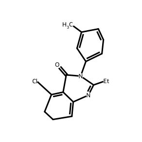 CCc1nc2c(c(=O)n1-c1cccc(C)c1)=C(Cl)CCC=2